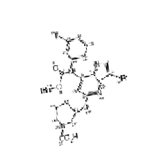 CC(C)c1cnc2c(N(C(=O)OC(C)(C)C)c3cccc(F)c3)cc(OC3CCCN(C(=O)O)C3)nn12